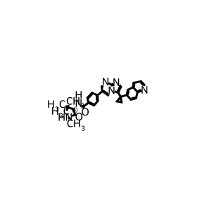 CNC(=O)[C@@H](NC(=O)c1ccc(-c2cnc3ncc(C4(c5ccc6ncccc6c5)CC4)n3c2)cc1)C(C)(C)C